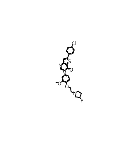 COc1cc(-n2cnc3cc(-c4ccc(Cl)cc4)sc3c2=O)ccc1OCCN1CCC(F)C1